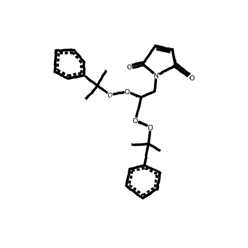 CC(C)(OOC(CN1C(=O)C=CC1=O)OOC(C)(C)c1ccccc1)c1ccccc1